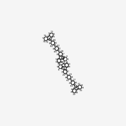 c1ccc([Si](c2ccccc2)(c2cccc3c2oc2ccc(-c4ccc(-c5ccc(-n6c7ccccc7c7ccccc76)cc5)cc4)cc23)c2cccc3c2oc2ccc(-c4ccc(-c5ccc(-n6c7ccccc7c7ccccc76)cc5)cc4)cc23)cc1